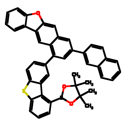 CC1(C)OB(c2cccc3sc4ccc(-c5cc(-c6ccc7ccccc7c6)cc6cc7oc8ccccc8c7cc56)cc4c23)OC1(C)C